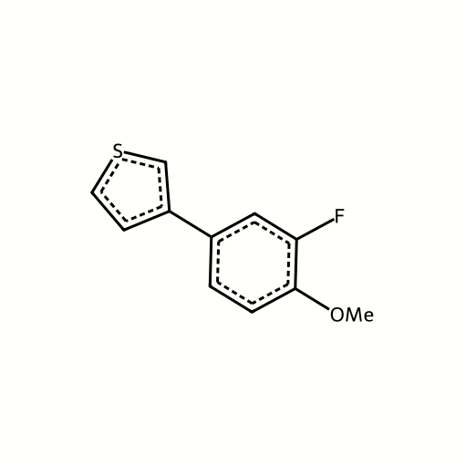 COc1ccc(-c2ccsc2)cc1F